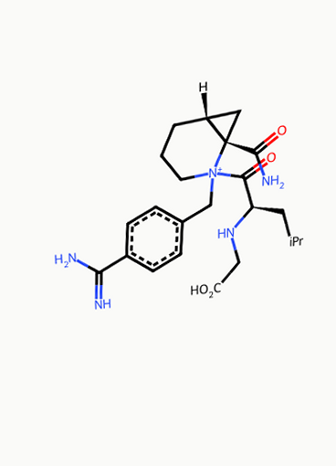 CC(C)C[C@@H](NCC(=O)O)C(=O)[N+]1(Cc2ccc(C(=N)N)cc2)CCC[C@@H]2C[C@@]21C(N)=O